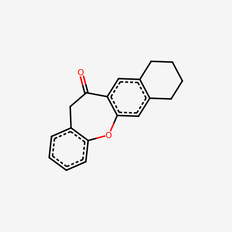 O=C1Cc2ccccc2Oc2cc3c(cc21)CCCC3